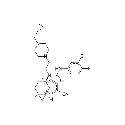 N#Cc1cccc([C@]23CC[C@@H](N(CCN4CCN(CC5CC5)CC4)C(=O)Nc4ccc(F)c(Cl)c4)C[C@H]2C3)c1